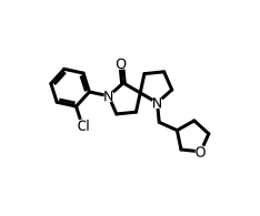 O=C1N(c2ccccc2Cl)CCC12CCCN2CC1CCOC1